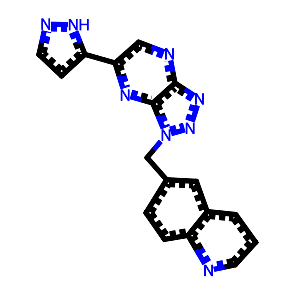 c1cnc2ccc(Cn3nnc4ncc(-c5ccn[nH]5)nc43)cc2c1